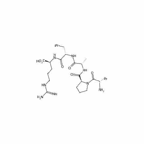 CC(C)C[C@H](NC(=O)[C@H](C)NC(=O)[C@@H]1CCCN1C(=O)[C@@H](N)C(C)C)C(=O)N[C@@H](CCCNC(=N)N)C(=O)O